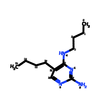 CCCCNc1nc(N)ncc1CCCC